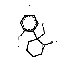 FCC1(c2ccccc2F)CCCCN1F